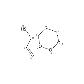 C1COOOC1.C=CCS